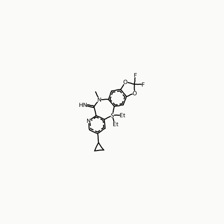 CCS1(CC)c2cc3c(cc2N(C)C(=N)c2ncc(C4CC4)cc21)OC(F)(F)O3